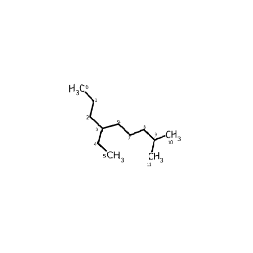 CCCC(CC)CCC[C](C)C